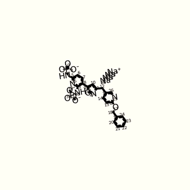 O=P([O-])([O-])Nc1ccc(-c2cc(Cc3ccc(OCc4ccccc4)nc3)no2)c(NP(=O)([O-])[O-])n1.[Na+].[Na+].[Na+].[Na+]